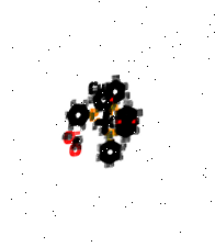 CC(CP(c1ccccc1)c1ccccc1)(CP(c1ccccc1)c1ccccc1)CP(c1ccccc1)c1ccccc1.O=C[O-].[Cu+]